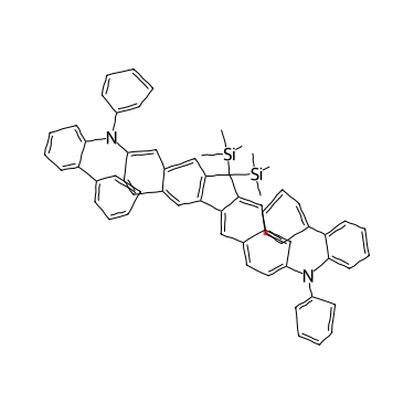 C[Si](C)(C)C1([Si](C)(C)C)c2cc3cc(N(c4ccccc4)c4ccccc4-c4ccccc4)ccc3cc2-c2cc3ccc(N(c4ccccc4)c4ccccc4-c4ccccc4)cc3cc21